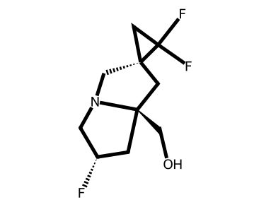 OC[C@@]12C[C@H](F)CN1C[C@@]1(CC1(F)F)C2